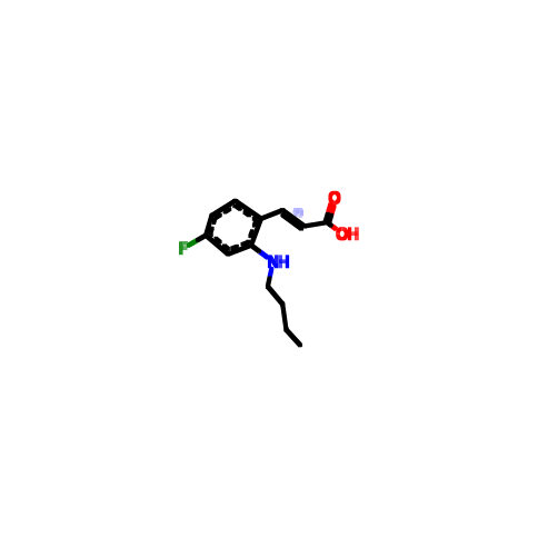 CCCCNc1cc(F)ccc1/C=C/C(=O)O